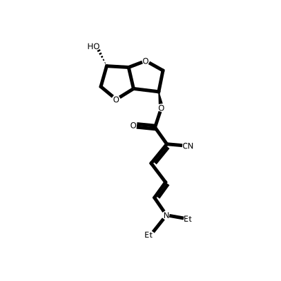 CCN(/C=C/C=C(\C#N)C(=O)O[C@@H]1COC2C1OC[C@@H]2O)CC